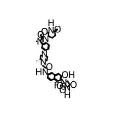 C[C@@H]1CN(c2ccc3c(c2)n(C)c(=O)n3C2CCC(=O)NC2=O)CCN1CC(=O)Nc1ccc2c(F)c(N3CC(=O)NS3(=O)=O)c(O)cc2c1